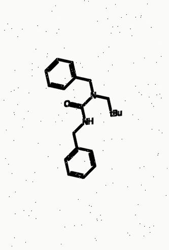 CC(C)(C)CN(Cc1ccccc1)C(=O)NCc1ccccc1